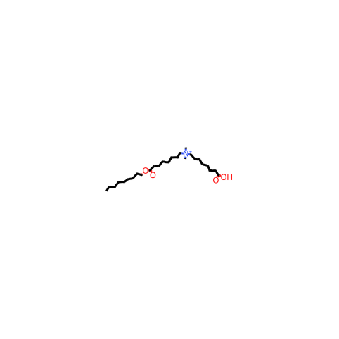 CCCCCCCCCOC(=O)CCCCCCC[N+](C)(C)CCCCCCCC(=O)O